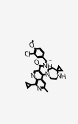 COc1ccc([C@H](C)NC(=O)c2cnc3c(C4CC4)nc(C)cc3c2N2CCNC3(CC2)CC3)cc1Cl